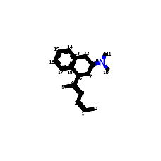 C/C=C\C=C(/C)C1CC(N(C)C)Cc2ccccc21